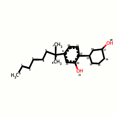 CCCCCCC(C)(C)c1ccc(C2CCCC(O)C2)c(O)c1